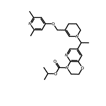 Cc1cc(OCC2=CN(C(C)c3cnc4c(c3)OCCN4C(=O)OC(C)C)CCC2)cc(C)n1